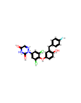 O=c1cnn(-c2cc(Cl)c(Oc3ccc(O)c(Cc4ccc(F)cc4)c3)c(Cl)c2)c(=O)[nH]1